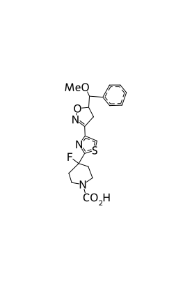 COC(c1ccccc1)C1CC(c2csc(C3(F)CCN(C(=O)O)CC3)n2)=NO1